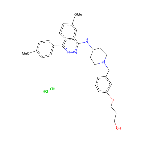 COc1ccc(-c2nnc(NC3CCN(Cc4cccc(OCCCO)c4)CC3)c3cc(OC)ccc23)cc1.Cl.Cl